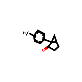 Cc1ccc(C23CC2CCC3=O)cc1